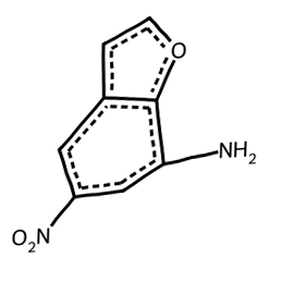 Nc1cc([N+](=O)[O-])cc2ccoc12